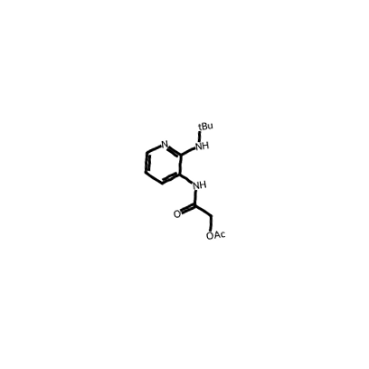 CC(=O)OCC(=O)Nc1cccnc1NC(C)(C)C